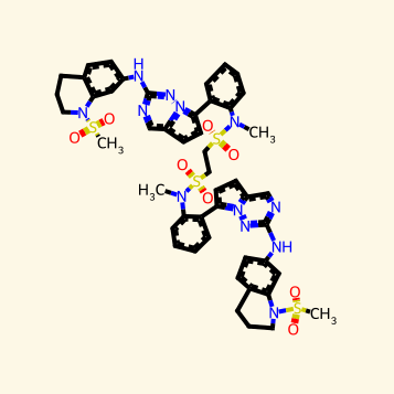 CN(c1ccccc1-c1ccc2cnc(Nc3ccc4c(c3)N(S(C)(=O)=O)CCC4)nn12)S(=O)(=O)CCS(=O)(=O)N(C)c1ccccc1-c1ccc2cnc(Nc3ccc4c(c3)N(S(C)(=O)=O)CCC4)nn12